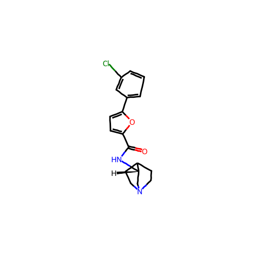 O=C(N[C@H]1CN2CCC1CC2)c1ccc(-c2cccc(Cl)c2)o1